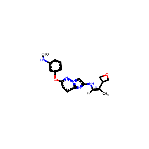 CC/C(Nc1cn2nc(Oc3cccc(NC=O)c3)ccc2n1)=C(\C)C1COC1